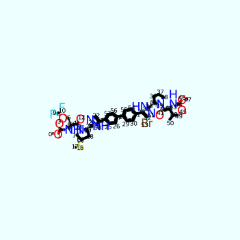 COC(=O)N[C@@H](COC(F)F)C(=O)N1C[C@@H](SC)C[C@H]1c1ncc(-c2ccc(-c3ccc(-c4[nH]c([C@@H]5CCCN5C(=O)[C@@H](NC(=O)OC)C(C)C)nc4Br)cc3)cc2)[nH]1